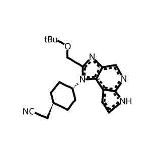 CC(C)(C)OCc1nc2cnc3[nH]ccc3c2n1[C@H]1CC[C@H](CC#N)CC1